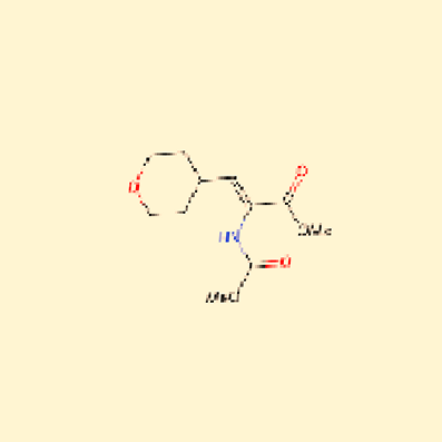 COC(=O)NC(=CC1CCOCC1)C(=O)OC